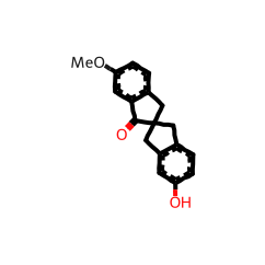 COc1ccc2c(c1)C(=O)C1(Cc3ccc(O)cc3C1)C2